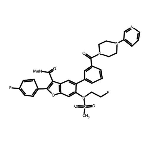 CNC(=O)c1c(-c2ccc(F)cc2)oc2cc(N(CCF)S(C)(=O)=O)c(-c3cccc(C(=O)N4CCN(c5cccnc5)CC4)c3)cc12